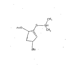 CC(=O)OC1CC(C(C)(C)C)C=C1O[SiH](C)C